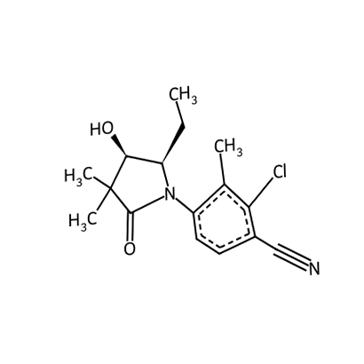 CC[C@@H]1[C@H](O)C(C)(C)C(=O)N1c1ccc(C#N)c(Cl)c1C